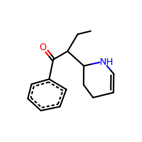 CCC(C(=O)c1ccccc1)C1CCC=CN1